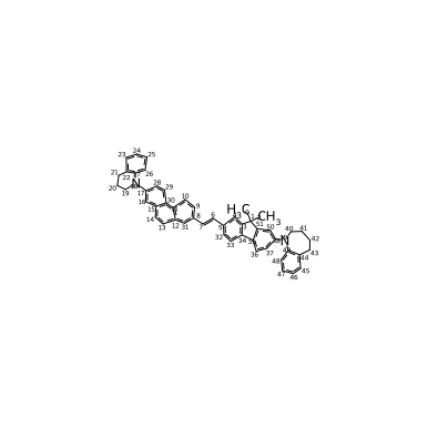 CC1(C)c2cc(/C=C/c3ccc4c(ccc5cc(N6CCCc7ccccc76)ccc54)c3)ccc2-c2ccc(N3CCCCc4ccccc43)cc21